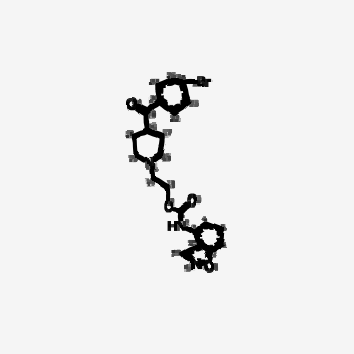 O=C(Nc1cccc2oncc12)OCCN1CCC(C(=O)c2ccc(Br)cc2)CC1